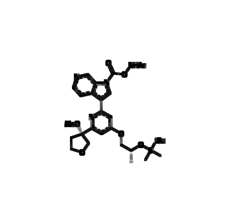 CO[C@@]1(c2cc(OC[C@@H](C)O[Si](C)(C)C(C)(C)C)cc(-c3cn(C(=O)ONC(C)=O)c4cnccc34)n2)CCOC1